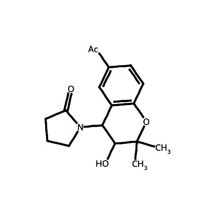 CC(=O)c1ccc2c(c1)C(N1CCCC1=O)C(O)C(C)(C)O2